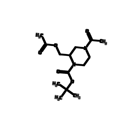 CC(=O)OCC1CN(C(C)=O)CCN1C(=O)OC(C)(C)C